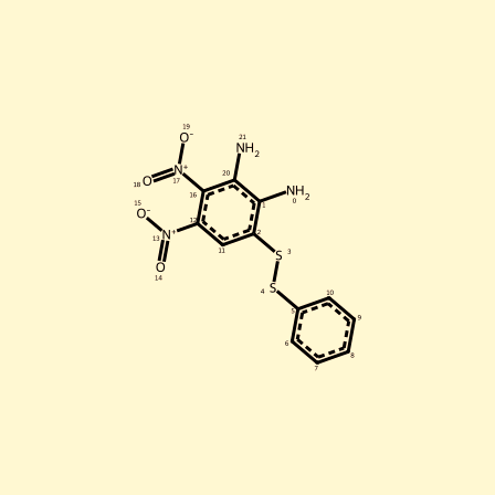 Nc1c(SSc2ccccc2)cc([N+](=O)[O-])c([N+](=O)[O-])c1N